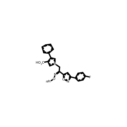 CCCON=C(Cn1cc(C(=O)O)c(-c2ccccc2)c1)c1cc(-c2ccc(F)cc2)no1